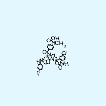 CN(C(=O)O)c1ccc(C(=O)N[C@@H](CC(=O)Nc2ccc(F)cc2)C(=O)N2CC[C@@]3(C2)OC(=O)Nc2ccc(Cl)cc23)cc1